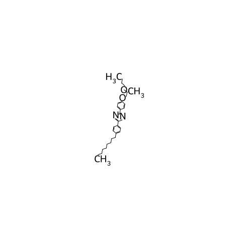 CCCCCCCCCc1ccc(-c2cnc(-c3ccc(OCC(C)OCCCC)cc3)nc2)cc1